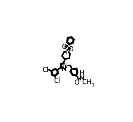 CNC(=O)c1ccc(Cn2nc(-c3cc(Cl)cc(Cl)c3)cc2C2CCN(S(=O)(=O)c3ccccc3)CC2)cc1